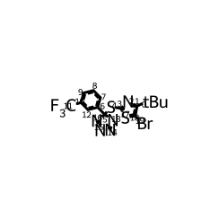 CC(C)(C)c1nc(SC2(c3cccc(C(F)(F)F)c3)N=NN=N2)sc1Br